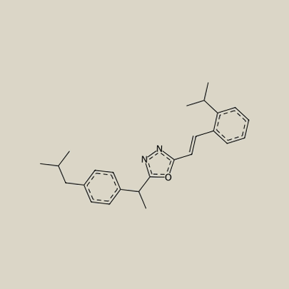 CC(C)Cc1ccc(C(C)c2nnc(/C=C/c3ccccc3C(C)C)o2)cc1